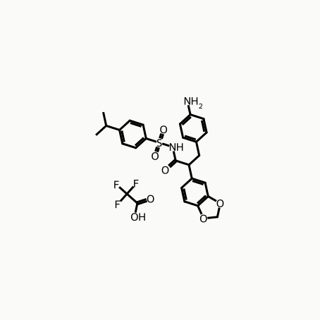 CC(C)c1ccc(S(=O)(=O)NC(=O)C(Cc2ccc(N)cc2)c2ccc3c(c2)OCO3)cc1.O=C(O)C(F)(F)F